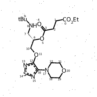 CCOC(=O)CCC(=O)O[C@@H](CNC(C)(C)C)COc1nsnc1N1CCOCC1